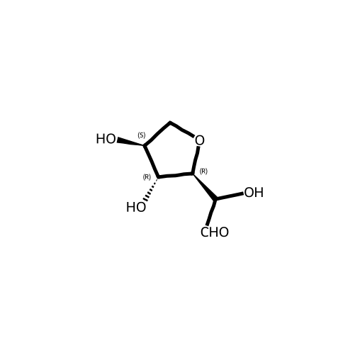 O=CC(O)[C@@H]1OC[C@H](O)[C@H]1O